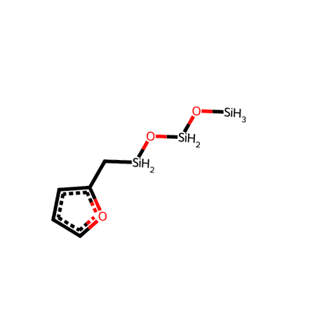 [SiH3]O[SiH2]O[SiH2]Cc1ccco1